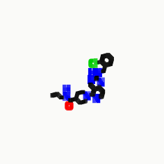 C=CCNC(=O)C1CCN(c2nccc3nc(NCc4ccccc4Cl)ncc23)CC1